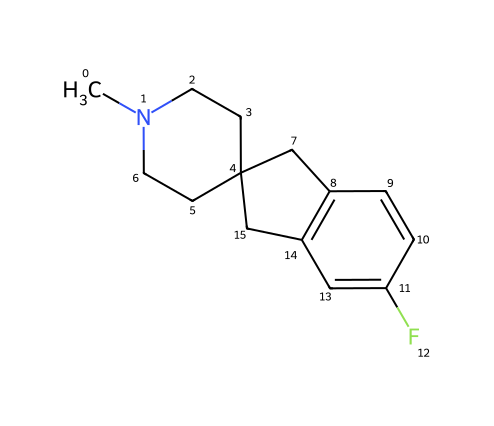 CN1CCC2(CC1)Cc1ccc(F)cc1C2